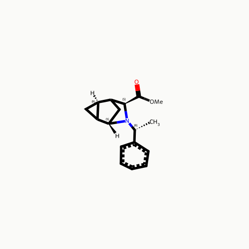 COC(=O)[C@@H]1C2C[C@@H](C3C[C@@H]23)N1[C@H](C)c1ccccc1